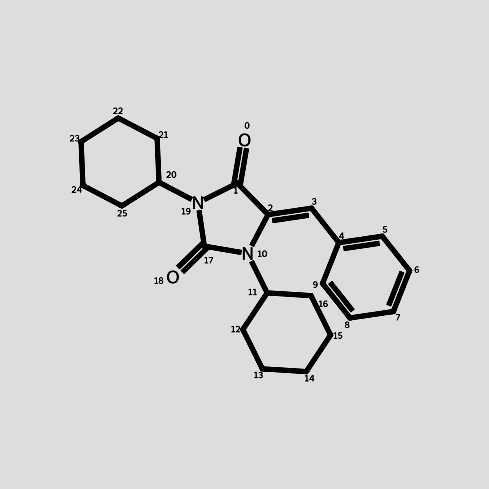 O=C1/C(=C/c2ccccc2)N(C2CCCCC2)C(=O)N1C1CCCCC1